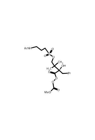 COC(=O)OOC(=O)[C@@](O)(CC(C)C)C(C)(C)COS(=O)(=O)CCCNC(C)=O